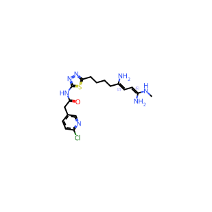 CN/C(N)=C/C=C(\N)CCCCc1nnc(NC(=O)Cc2ccc(Cl)nc2)s1